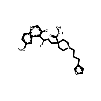 COc1ccc2ncc(Cl)c([C@H](F)CCC3(C(=O)NO)CCN(CCCc4ccsc4)CC3)c2c1